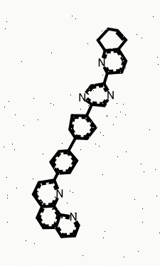 C1=Cc2ccc(-c3cnc(-c4ccc(-c5ccc(-c6ccc7ccc8cccnc8c7n6)cc5)cc4)cn3)nc2CC1